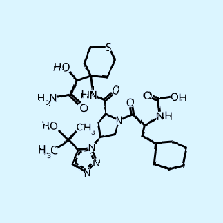 CC(C)(O)c1cnnn1[C@H]1C[C@@H](C(=O)NC2(C(O)C(N)=O)CCSCC2)N(C(=O)C(CC2CCCCC2)NC(=O)O)C1